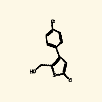 CCc1ccc(-c2cc(Cl)sc2CO)cc1